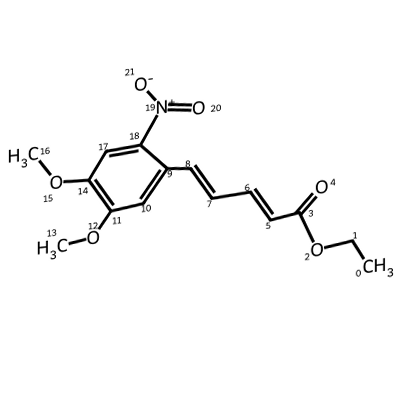 CCOC(=O)/C=C/C=C/c1cc(OC)c(OC)cc1[N+](=O)[O-]